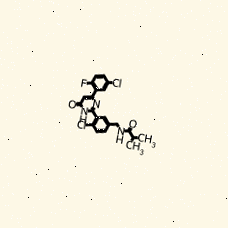 CC(C)C(=O)NCc1ccc(Cl)c(-c2nc(-c3cc(Cl)ccc3F)cc(=O)[nH]2)c1